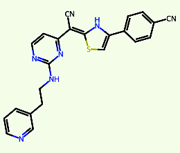 N#CC(=C1NC(c2ccc(C#N)cc2)=CS1)c1ccnc(NCCc2cccnc2)n1